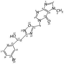 Cn1cnc2ncn(Cc3nc(CC(O)c4cccc(Br)c4)no3)c(=O)c21